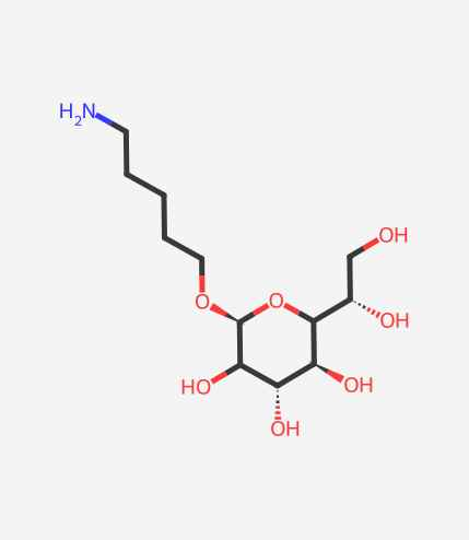 NCCCCCO[C@H]1OC([C@@H](O)CO)[C@@H](O)[C@H](O)C1O